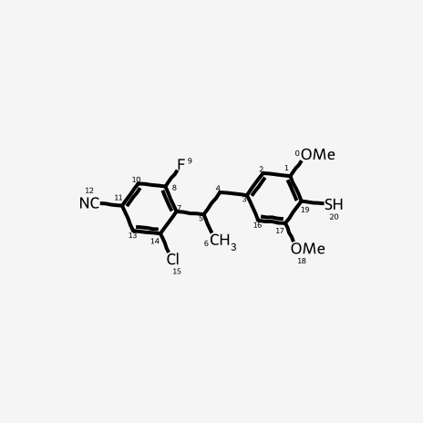 COc1cc(CC(C)c2c(F)cc(C#N)cc2Cl)cc(OC)c1S